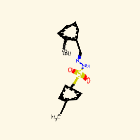 Cc1ccc(S(=O)(=O)NN=Cc2ccccc2C(C)(C)C)cc1